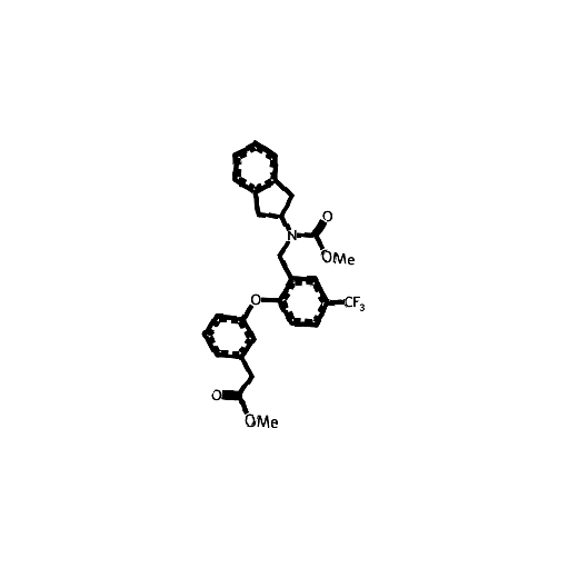 COC(=O)Cc1cccc(Oc2ccc(C(F)(F)F)cc2CN(C(=O)OC)C2Cc3ccccc3C2)c1